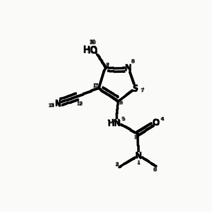 CN(C)C(=O)Nc1snc(O)c1C#N